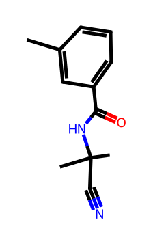 Cc1cccc(C(=O)NC(C)(C)C#N)c1